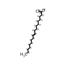 CCCCCCCC/C=C/CCCCCCCCC(=O)Cl